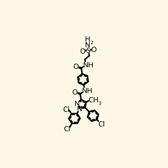 Cc1c(C(=O)Nc2ccc(C(=O)NCCS(N)(=O)=O)cc2)nn(-c2ccc(Cl)cc2Cl)c1-c1ccc(Cl)cc1